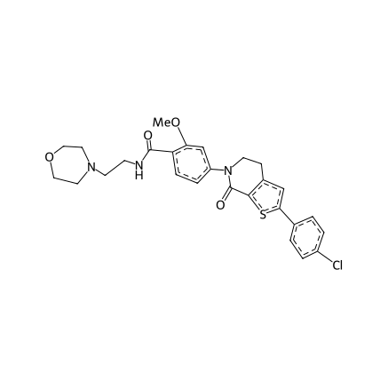 COc1cc(N2CCc3cc(-c4ccc(Cl)cc4)sc3C2=O)ccc1C(=O)NCCN1CCOCC1